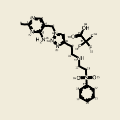 Cc1ncc(Cn2cc(CCNCCS(=O)(=O)c3ccccc3)nn2)c(N)n1.O=C(O)C(F)(F)F